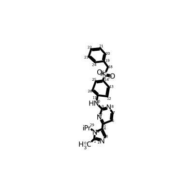 Cc1ncc(-c2ccnc(Nc3ccc(S(=O)(=O)Cc4ccccc4)cc3)n2)n1C(C)C